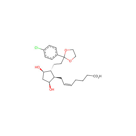 O=C(O)CCC/C=C\C[C@@H]1[C@@H](CCC2(c3ccc(Cl)cc3)OCCO2)[C@H](O)C[C@@H]1O